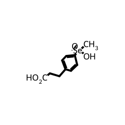 C[Se](=O)(O)c1ccc(CCC(=O)O)cc1